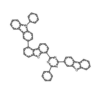 c1ccc(-c2nc(-c3ccc4c(c3)oc3ccccc34)nc(-c3cccc4c3oc3cccc(-c5ccc6c(c5)c5ccccc5n6-c5ccccc5)c34)n2)cc1